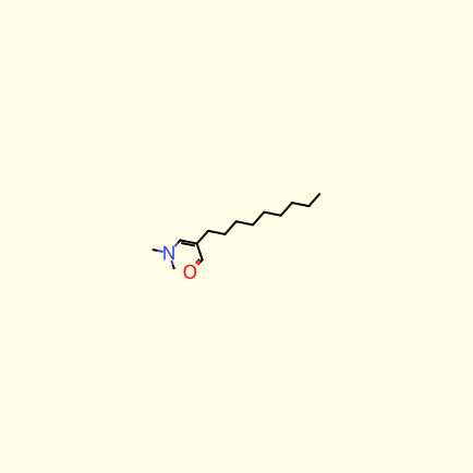 CCCCCCCCCC(C=O)=CN(C)C